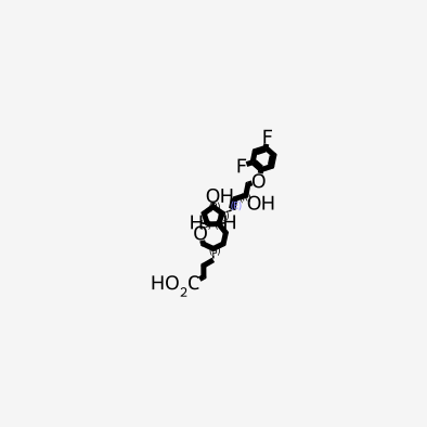 O=C(O)CCC[C@H]1CC[C@@H]2[C@@H](/C=C/[C@@H](O)COc3ccc(F)cc3F)[C@H](O)C[C@@H]2OC1